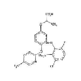 CC(Oc1ccc(Oc2ccc(C(F)(F)F)cn2)cc1)C(=O)O.COc1c(Cl)ccc(Cl)c1C(=O)O